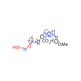 COc1ccc2sc(Nc3nnc4c(c3C)CCCN4c3ccc(-c4cnn(CC56CC7(C)CC(C)(C5)CC(OCCN(C)CCCO)(C7)C6)c4C)c(C(=O)O)n3)nc2c1